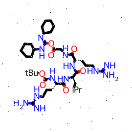 CC(C)C[C@@H](NC(=O)[C@H](CCCNC(=N)N)NC(=O)OC(C)(C)C)C(=O)N[C@@H](CCCNC(=N)N)C(=O)NCC(=O)O/C(=N\C1CCCCC1)NC1CCCCC1